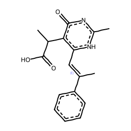 C/C(=C\c1[nH]c(C)nc(=O)c1C(C)C(=O)O)c1ccccc1